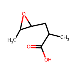 CC(CC1OC1C)C(=O)O